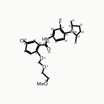 COCCOCOc1ccc(Cl)cc1C(=O)Nc1ccc(N2C(C)CCC2C)c(F)c1